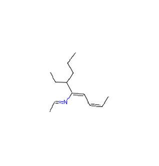 CC=N/C(=C\C=C/C)C(CC)CCC